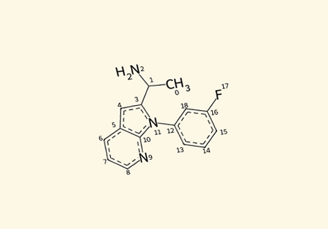 CC(N)c1cc2cccnc2n1-c1cccc(F)c1